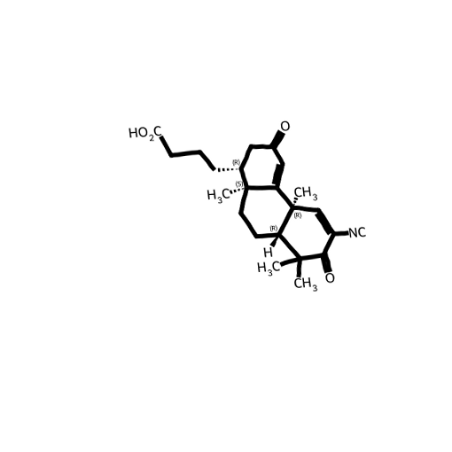 [C-]#[N+]C1=C[C@]2(C)C3=CC(=O)C[C@@H](CCCC(=O)O)[C@]3(C)CC[C@H]2C(C)(C)C1=O